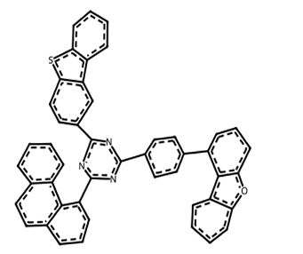 c1ccc2c(c1)ccc1cccc(-c3nc(-c4ccc(-c5cccc6oc7ccccc7c56)cc4)nc(-c4ccc5sc6ccccc6c5c4)n3)c12